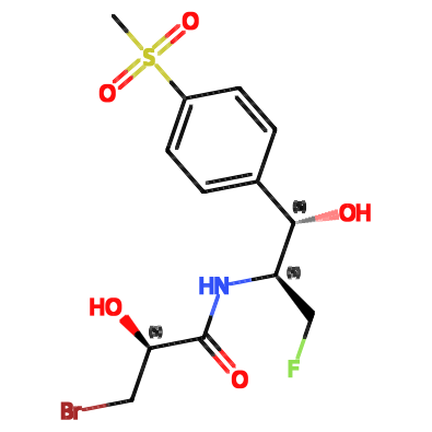 CS(=O)(=O)c1ccc([C@H](O)[C@@H](CF)NC(=O)[C@H](O)CBr)cc1